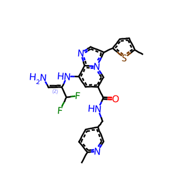 Cc1ccc(CNC(=O)c2cc(N/C(=C\N)C(F)F)c3ncc(-c4ccc(C)s4)n3c2)cn1